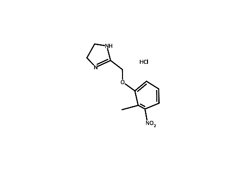 Cc1c(OCC2=NCCN2)cccc1[N+](=O)[O-].Cl